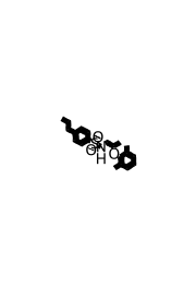 CCCc1ccc(S(=O)(=O)NCC(C)Oc2c(C)cccc2C)cc1